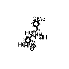 COc1ccc(CCNC(C)C(O)c2ccc(O)c(NS(C)(=O)=O)c2)cc1.Cl